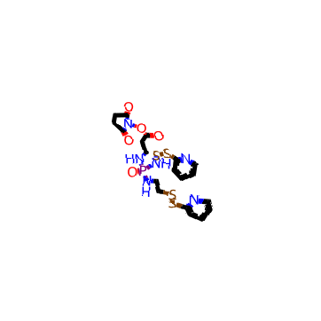 O=C(CCNP(=O)(NCCSSc1ccccn1)NSSc1ccccn1)ON1C(=O)CCC1=O